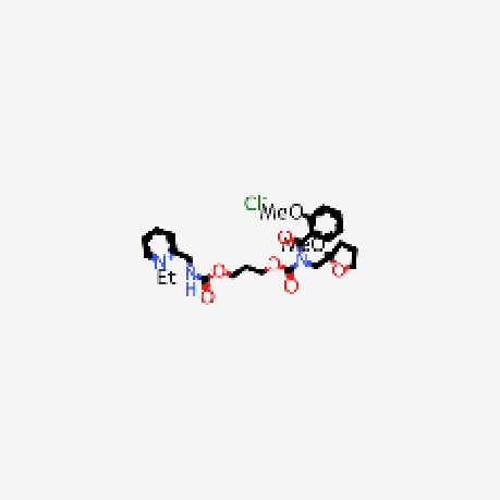 CC[n+]1ccccc1CNC(=O)OCCCOC(=O)N(CC1(OC)CCCO1)C(=O)c1ccccc1OC.[Cl-]